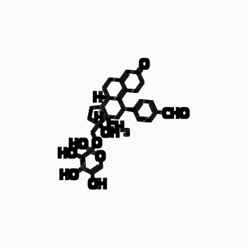 C[C@]12C[C@H](c3ccc(C=O)cc3)C3=C4CCC(=O)C=C4CC[C@H]3[C@@H]1CC[C@@]2(O)COC1(O)OC=C(O)C(O)=C1O